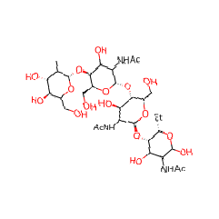 CC[C@@H]1OC(O)C(NC(C)=O)C(O)[C@@H]1O[C@@H]1OC(CO)[C@@H](O[C@@H]2O[C@@H](CO)[C@@H](O[C@@H]3OC(CO)[C@@H](O)[C@H](O)C3C)C(O)C2NC(C)=O)[C@H](O)C1NC(C)=O